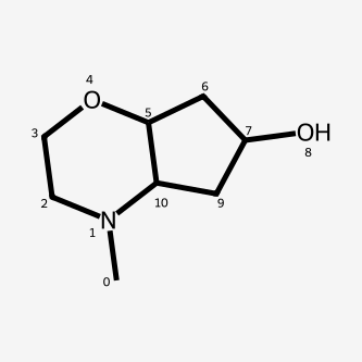 CN1CCOC2CC(O)CC21